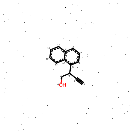 C#CC(CO)c1cccc2ccccc12